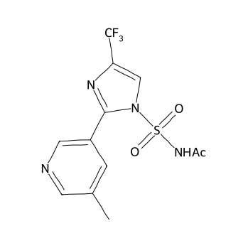 CC(=O)NS(=O)(=O)n1cc(C(F)(F)F)nc1-c1cncc(C)c1